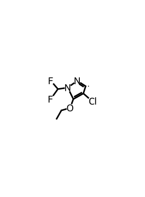 CCOc1c(Cl)[c]nn1C(F)F